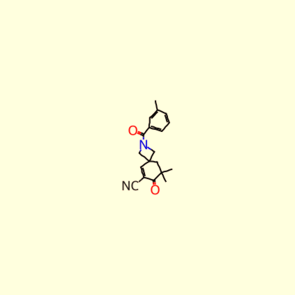 Cc1cccc(C(=O)N2CC3(C=C(C#N)C(=O)C(C)(C)C3)C2)c1